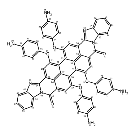 Nc1ccc(Oc2cc3c(=O)n4c5ccccc5nc4c4cc(Oc5ccc(N)cc5)c5c6c(Oc7ccc(N)cc7)cc7c8c(cc(Oc9ccc(N)cc9)c(c2c5c34)c68)c(=O)n2c3ccccc3nc72)cc1